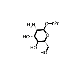 CCCO[C@H]1O[C@H](CO)[C@@H](O)[C@H](O)[C@@H]1N